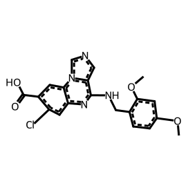 COc1ccc(CNc2nc3cc(Cl)c(C(=O)O)cc3n3cncc23)c(OC)c1